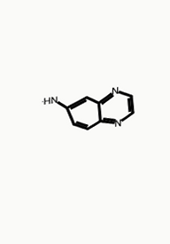 [NH]c1ccc2nccnc2c1